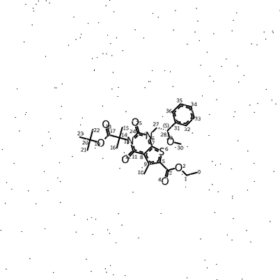 CCOC(=O)c1sc2c(c1C)c(=O)n(C(C)(C)C(=O)OC(C)(C)C)c(=O)n2C[C@@H](OC)c1ccccc1